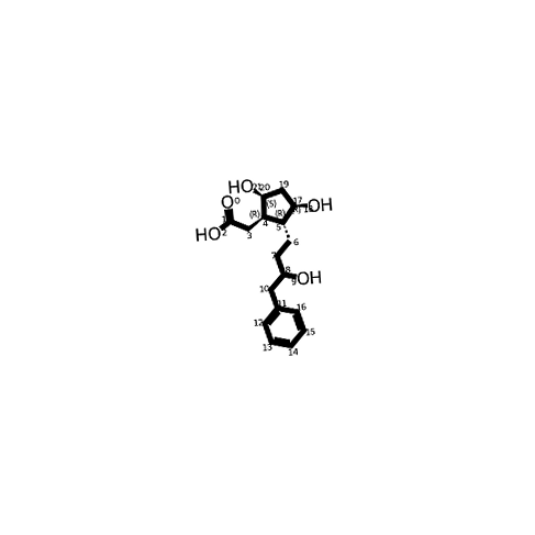 O=C(O)C[C@@H]1[C@@H](CCC(O)Cc2ccccc2)[C@H](O)C[C@@H]1O